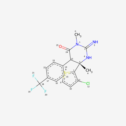 CN1C(=N)N[C@](C)(c2sccc2Cl)C(c2ccc(C(F)(F)F)cc2)C1=O